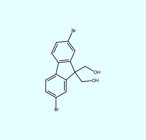 OCC1(CO)c2cc(Br)ccc2-c2ccc(Br)cc21